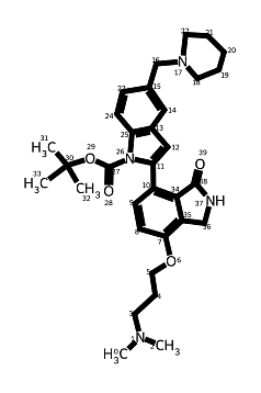 CN(C)CCCOc1ccc(-c2cc3cc(CN4CCCCC4)ccc3n2C(=O)OC(C)(C)C)c2c1CNC2=O